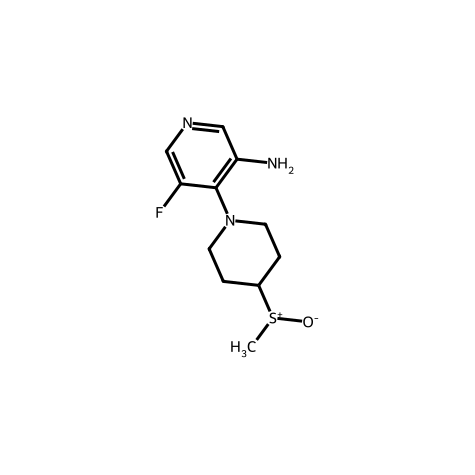 C[S+]([O-])C1CCN(c2c(N)cncc2F)CC1